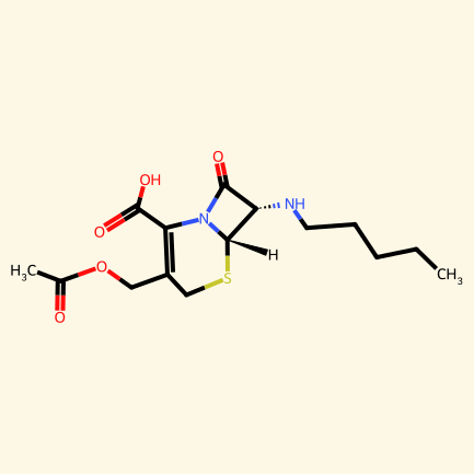 CCCCCN[C@H]1C(=O)N2C(C(=O)O)=C(COC(C)=O)CS[C@@H]12